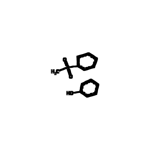 CS(=O)(=O)c1ccccc1.Oc1ccccc1